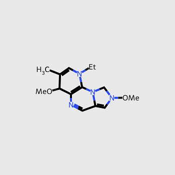 CCN1C=C(C)C(OC)C2=C1N1CN(OC)C=C1C=N2